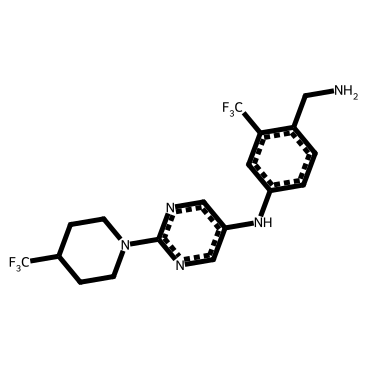 NCc1ccc(Nc2cnc(N3CCC(C(F)(F)F)CC3)nc2)cc1C(F)(F)F